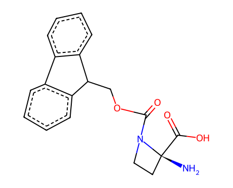 N[C@@]1(C(=O)O)CCN1C(=O)OCC1c2ccccc2-c2ccccc21